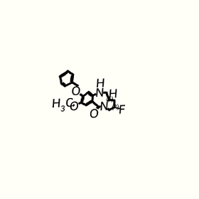 COc1cc2c(cc1OCc1ccccc1)NC[C@@H]1C[C@@H](F)CN1C2=O